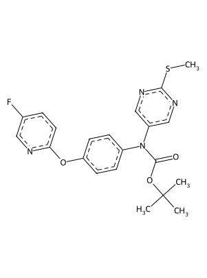 CSc1ncc(N(C(=O)OC(C)(C)C)c2ccc(Oc3ccc(F)cn3)cc2)cn1